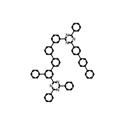 c1ccc(-c2ccc(-c3ccc(-c4nc(-c5ccccc5)nc(-c5cccc(-c6cccc(-c7cccc(-c8cc(-c9ccccc9)cc(-c9nc(-c%10ccccc%10)nc(-c%10ccccc%10)n9)c8)c7)c6)c5)n4)cc3)cc2)cc1